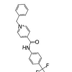 O=C(Nc1ccc(C(F)(F)F)cc1)c1cc[n+](Cc2ccccc2)cc1